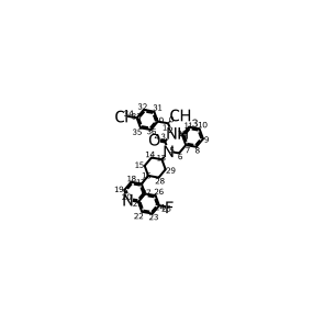 C[C@H](NC(=O)N(Cc1ccccc1)C1CCC(c2ccnc3ccc(F)cc23)CC1)c1ccc(Cl)cc1